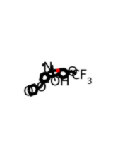 CN1CC(C)([C@](O)(c2ccc(OC(F)(F)F)cc2)c2cccc(OC3CCOCC3)c2)C1